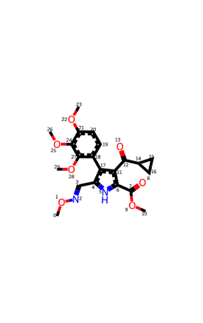 CO/N=C/c1[nH]c(C(=O)OC)c(C(=O)C2CC2)c1-c1ccc(OC)c(OC)c1OC